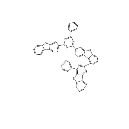 c1ccc(-c2nc(-c3ccc4c(c3)sc3ccccc34)nc(-c3ccc4c(c3)sc3cccc(-c5nc(-c6ccccc6)c6sc7ccccc7c6n5)c34)n2)cc1